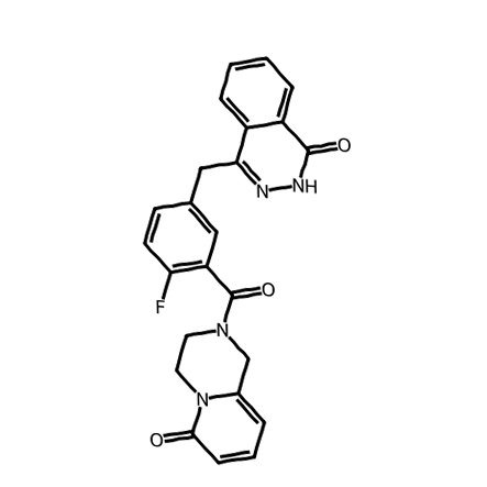 O=C(c1cc(Cc2n[nH]c(=O)c3ccccc23)ccc1F)N1CCn2c(cccc2=O)C1